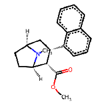 COC(=O)[C@H]1[C@@H](c2cccc3ccccc23)C[C@@H]2CC[C@H]1N2C